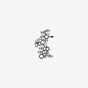 C#CCCC(NC(=O)[C@@H]1[C@@H]2[C@H](CN1C(=O)[C@@H](NC(=O)NC1(CS(=O)(=O)C(C)(C)C)CCCCC1)C1(C)CCCC1)C2(C)C)C(=O)C(=O)NCCC